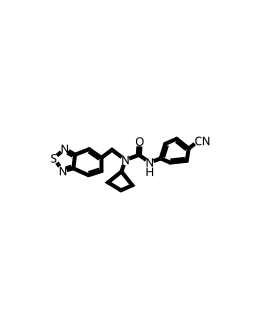 N#Cc1ccc(NC(=O)N(Cc2ccc3nsnc3c2)C2CCC2)cc1